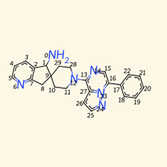 NC1c2cccnc2CC12CCN(c1ncc(-c3ccccc3)n3nccc13)CC2